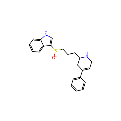 [O-][S+](CCCC1CC(c2ccccc2)=CCN1)c1c[nH]c2ccccc12